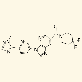 Cn1ncnc1-c1ccc(-n2nnc3cc(C(=O)N4CCC(F)(F)CC4)cnc32)cn1